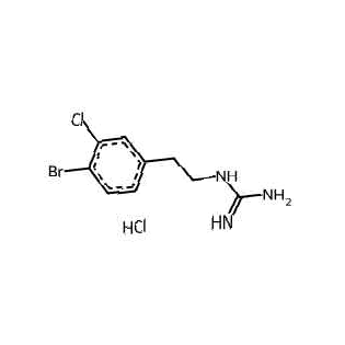 Cl.N=C(N)NCCc1ccc(Br)c(Cl)c1